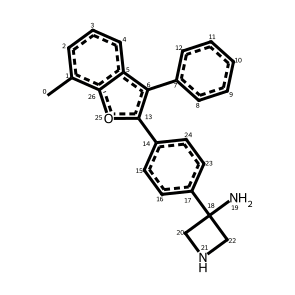 Cc1cccc2c(-c3ccccc3)c(-c3ccc(C4(N)CNC4)cc3)oc12